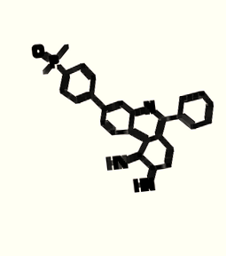 CP(C)(=O)c1ccc(-c2ccc3c4c(c(-c5ccccc5)nc3c2)C=CC(=N)C4=N)cc1